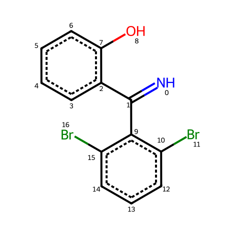 N=C(c1ccccc1O)c1c(Br)cccc1Br